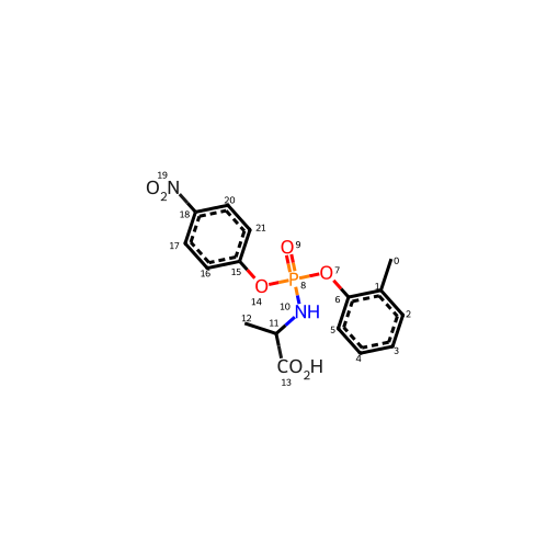 Cc1ccccc1OP(=O)(NC(C)C(=O)O)Oc1ccc([N+](=O)[O-])cc1